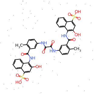 Cc1ccc(NC(=O)C(=O)Nc2ccc(C)c(C(=O)Nc3c(O)cc(S(=O)(=O)O)c4ccccc34)c2)cc1C(=O)Nc1c(O)cc(S(=O)(=O)O)c2ccccc12